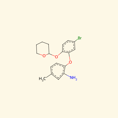 Cc1ccc(Oc2cc(Br)ccc2OC2CCCCO2)c(N)c1